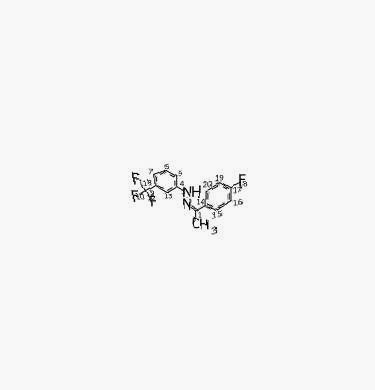 CC(=NNc1cccc(C(F)(F)F)c1)c1ccc(F)cc1